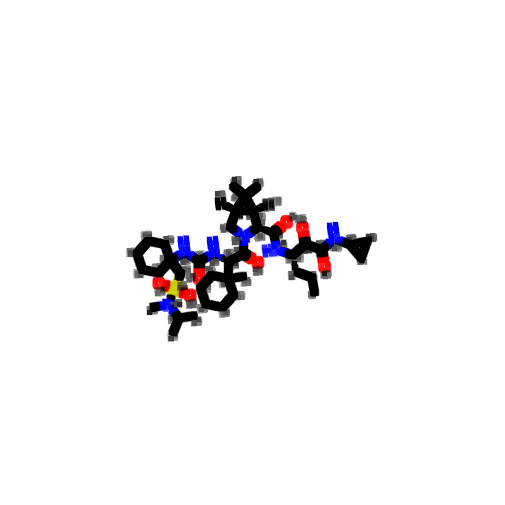 CCC[C@H](NC(=O)[C@@H]1[C@@H]2[C@H](CN1C(=O)[C@@H](NC(=O)NC1(CS(=O)(=O)N(C)C(C)C)CCCCC1)C1(C)CCCCC1)C2(C)C)C(=O)C(=O)NC1CC1